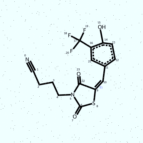 N#CCCCN1C(=O)S/C(=C/c2ccc(O)c(C(F)(F)F)c2)C1=O